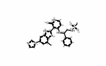 Cc1cc(-n2ccnc2)cc2[nH]c(-c3c(NC(CNS(C)(=O)=O)c4ccccc4)cc[nH]c3=O)nc12